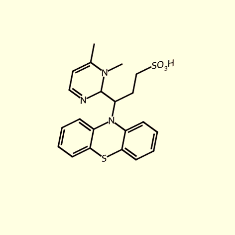 CC1=CC=NC(C(CCS(=O)(=O)O)N2c3ccccc3Sc3ccccc32)N1C